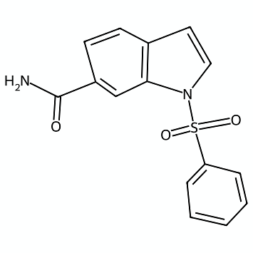 NC(=O)c1ccc2ccn(S(=O)(=O)c3ccccc3)c2c1